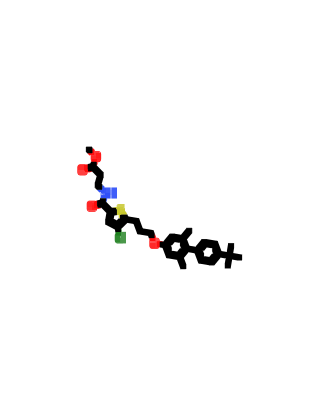 COC(=O)CCNC(=O)c1cc(Cl)c(CCCOc2cc(C)c(-c3ccc(C(C)(C)C)cc3)c(C)c2)s1